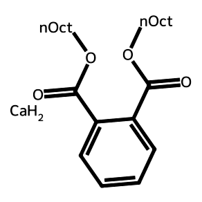 CCCCCCCCOC(=O)c1ccccc1C(=O)OCCCCCCCC.[CaH2]